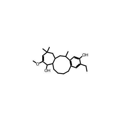 CCc1cc2c(cc1O)C(C)CC1CC(C)(C)C=C(OC)C(O)C1CCCC2